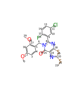 COc1ccc(Cn2c(-c3cc(Cl)ccc3F)nc3sc(SC)nc3c2=O)c(OC)c1